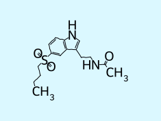 CCCCS(=O)(=O)c1ccc2[nH]cc(CCNC(C)=O)c2c1